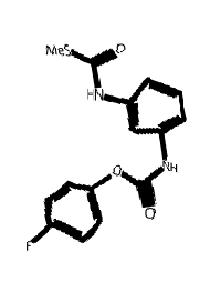 CSC(=O)Nc1cccc(NC(=O)Oc2ccc(F)cc2)c1